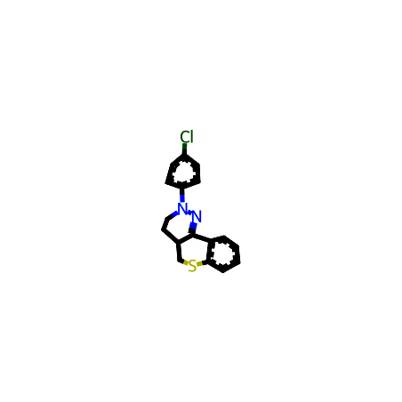 Clc1ccc(N2CCC3CSc4ccccc4C3=N2)cc1